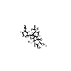 CN1C(=N)NC(C)(c2ccc(-c3cccc(C#N)c3)s2)C(c2ccc(C(F)(F)F)cn2)C1=O